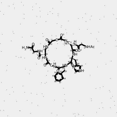 CC(=O)NCC(=O)N[C@H]1CNC(=O)CCC(=O)NC[C@@H](C(=O)NCC(N)=O)NC(=O)CNC(=O)[C@@H](Cc2ccccc2)NC(=O)[C@H](Cc2c[nH]cn2)NC1=O